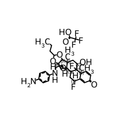 CCCC1O[C@@H]2C[C@H]3[C@@H]4C[C@H](F)C5=CC(=O)C=C[C@]5(C)[C@@]4(F)[C@@H](O)C[C@]3(C)[C@]2(C(=O)CNc2ccc(N)cc2)O1.O=C(O)C(F)(F)F